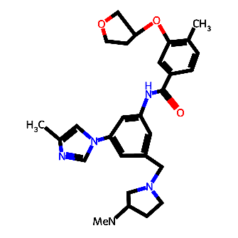 CNC1CCN(Cc2cc(NC(=O)c3ccc(C)c(OC4CCOC4)c3)cc(-n3cnc(C)c3)c2)C1